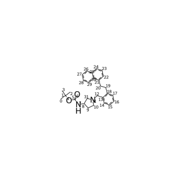 CC(C)(C)OC(=O)NC1CCN(Cc2ccccc2CCc2cccc3ccccc23)C1